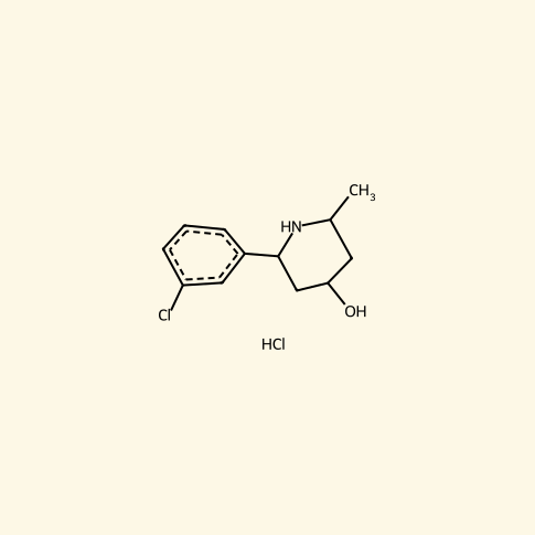 CC1CC(O)CC(c2cccc(Cl)c2)N1.Cl